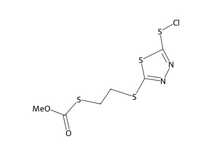 COC(=O)SCCSc1nnc(SCl)s1